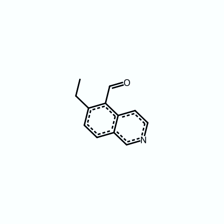 CCc1ccc2cnccc2c1C=O